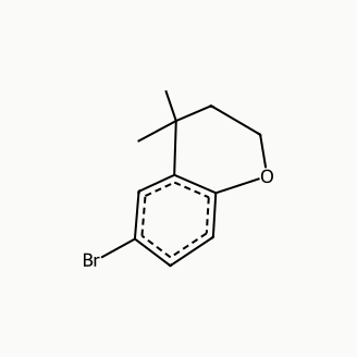 CC1(C)CCOc2ccc(Br)cc21